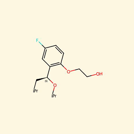 CC(C)C[C@H](OC(C)C)c1cc(F)ccc1OCCO